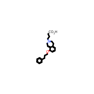 O=C(O)CCCN1CC=C2C(=CC=CC2OCCCc2ccccc2)CC1